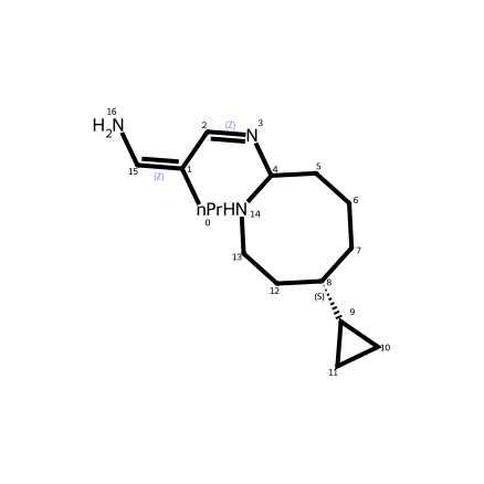 CCCC(/C=N\C1CCC[C@H](C2CC2)CCN1)=C/N